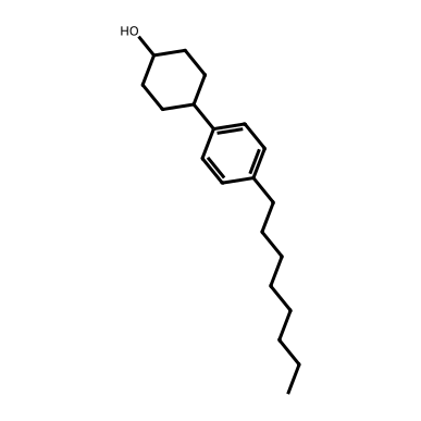 CCCCCCCCc1ccc(C2CCC(O)CC2)cc1